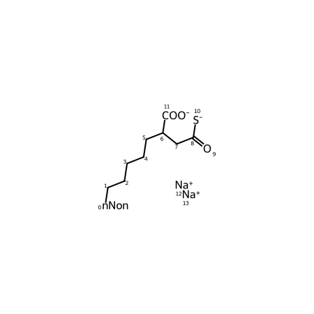 CCCCCCCCCCCCCCC(CC(=O)[S-])C(=O)[O-].[Na+].[Na+]